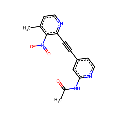 CC(=O)Nc1cc(C#Cc2nccc(C)c2[N+](=O)[O-])ccn1